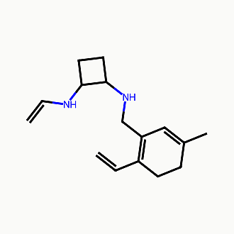 C=CNC1CCC1NCC1=C(C=C)CCC(C)=C1